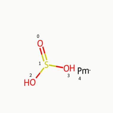 O=S(O)O.[Pm]